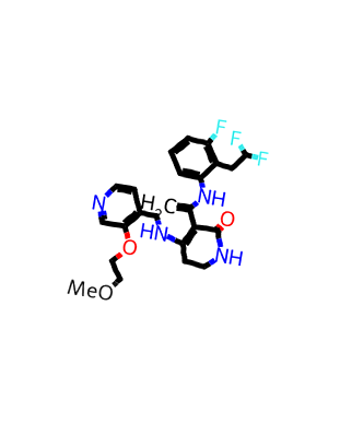 C=C(Nc1cccc(F)c1CC(F)F)C1=C(NCc2ccncc2OCCOC)CCNC1=O